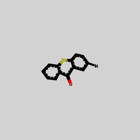 [2H]c1ccc2sc3ccccc3c(=O)c2c1